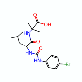 CC(C)C[C@@H](NC(=O)Nc1ccc(Br)cc1)C(=O)NC(C)(C)C(=O)O